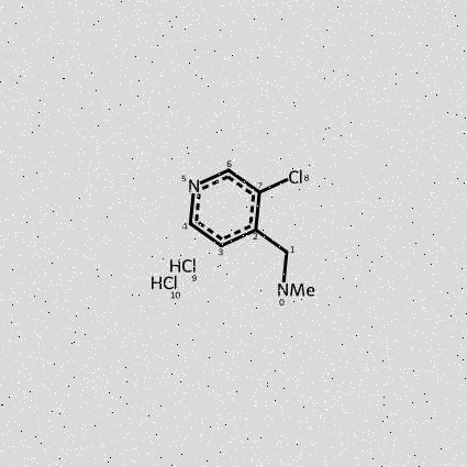 CNCc1ccncc1Cl.Cl.Cl